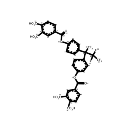 O=C(Oc1ccc(C(c2ccc(OC(=O)c3ccc(C(=O)O)c(C(=O)O)c3)cc2)(C(F)(F)F)C(F)(F)C(F)(F)F)cc1)c1ccc(C(=O)O)c(C(=O)O)c1